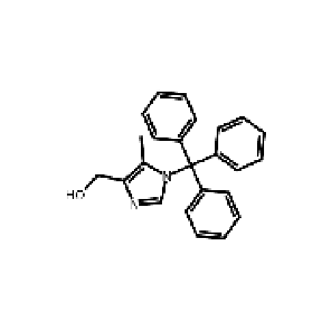 Cc1c(CO)ncn1C(c1ccccc1)(c1ccccc1)c1ccccc1